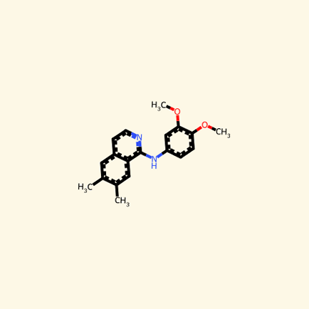 COc1ccc(Nc2nccc3cc(C)c(C)cc23)cc1OC